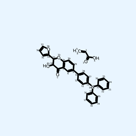 C=CC(=O)O.O=C1c2cc(-c3ccc(N(c4ccccc4)c4ccccc4)cc3)ccc2OC(c2ccco2)C1O